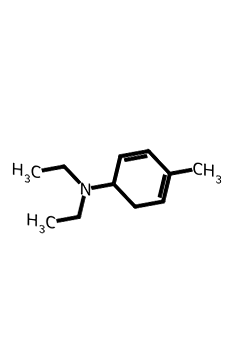 CCN(CC)C1C=CC(C)=CC1